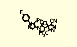 CC1=NN=C(C#N)C1(Cl)C1CCN(c2cnn(-c3ccc(F)cc3)c2C(C)C)C1=O